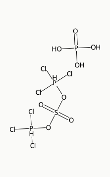 O=P(O)(O)O.O=S(=O)(O[PH](Cl)(Cl)Cl)O[PH](Cl)(Cl)Cl